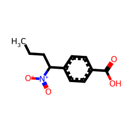 CCCC(c1ccc(C(=O)O)cc1)[N+](=O)[O-]